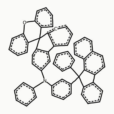 c1ccc(N(c2cccc(C3(c4ccccc4)c4ccccc4-c4ccc5ccccc5c43)c2)c2ccc3c(c2)-c2ccccc2C32c3ccccc3Oc3ccccc32)cc1